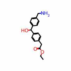 CCOC(=O)Cc1ccc(C(O)c2ccc(CN)cc2)cc1